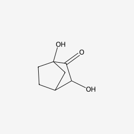 O=C1C(O)C2CCC1(O)C2